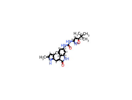 Cc1cc(C)c(C=C2C(=O)Nc3cc(NC(=O)Nc4cc(C(C)(C)C)on4)ccc32)[nH]1